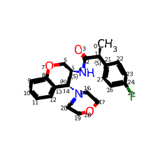 C[C@H](C(=O)N[C@@H]1COc2ccccc2[C@H]1N1CCOCC1)c1ccc(F)cc1